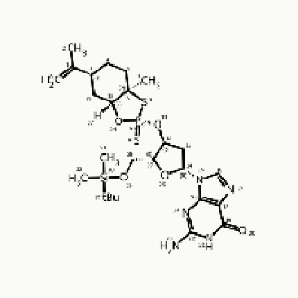 C=C(C)[C@H]1CC[C@@]2(C)S[P@](=S)(O[C@H]3C[C@H](n4cnc5c(=O)[nH]c(N)nc54)O[C@@H]3CO[Si](C)(C)C(C)(C)C)O[C@@H]2C1